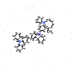 C=C1/C=C\C=C/CN(c2ccccc2)c2ccc(-n3c4ccccc4c4cc(-c5cc6c7ccccc7n7c8ccccc8c(c5)c67)ccc43)cc21